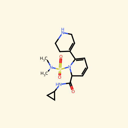 CN(C)S(=O)(=O)N1C(C2=CCNCC2)=CC=CC1C(=O)NC1CC1